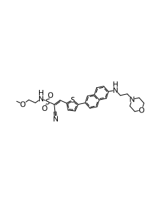 COCCNS(=O)(=O)/C(C#N)=C/c1ccc(-c2ccc3cc(NCCN4CCOCC4)ccc3c2)s1